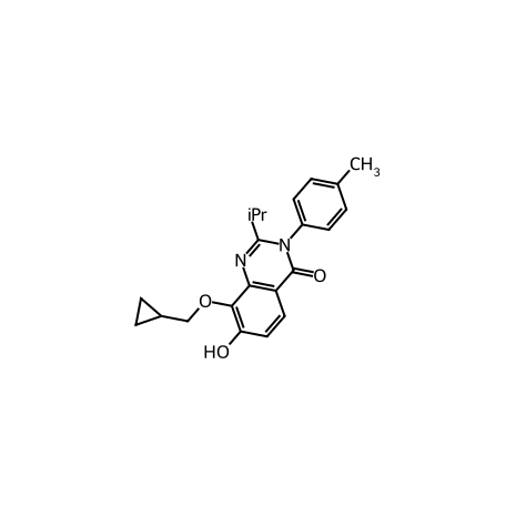 Cc1ccc(-n2c(C(C)C)nc3c(OCC4CC4)c(O)ccc3c2=O)cc1